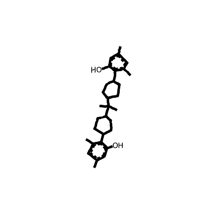 Cc1cc(C)c(C2CCC(C(C)(C)C3CCC(c4c(C)cc(C)cc4O)CC3)CC2)c(O)c1